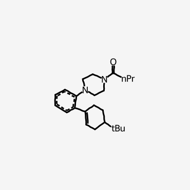 CCCC(=O)N1CCN(c2ccccc2C2=CCC(C(C)(C)C)CC2)CC1